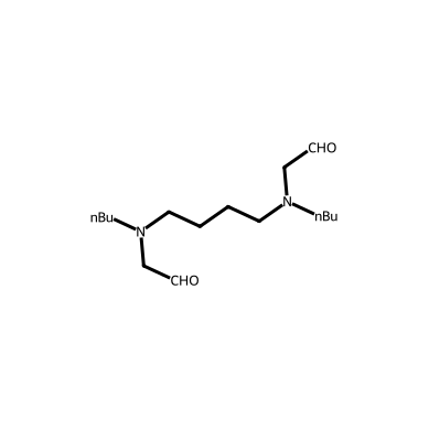 CCCCN(CC=O)CCCCN(CC=O)CCCC